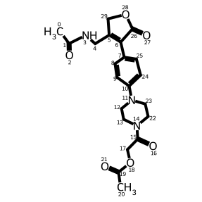 CC(=O)NCC1=C(c2ccc(N3CCN(C(=O)COC(C)=O)CC3)cc2)C(=O)OC1